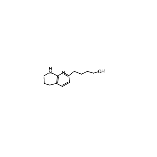 OCCCCc1ccc2c(n1)NCCC2